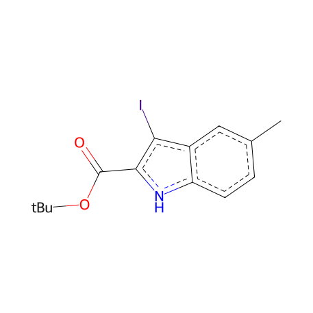 Cc1ccc2[nH]c(C(=O)OC(C)(C)C)c(I)c2c1